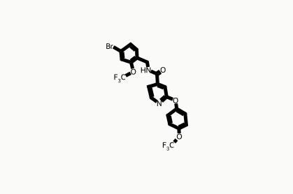 O=C(NCc1ccc(Br)cc1OC(F)(F)F)c1ccnc(Oc2ccc(OC(F)(F)F)cc2)c1